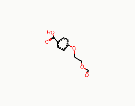 O=COCCOc1ccc(C(=O)O)cc1